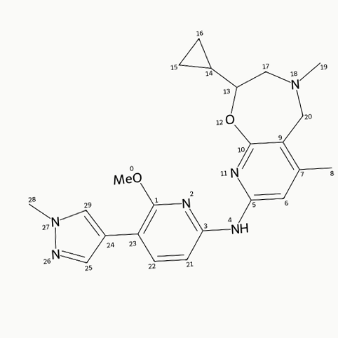 COc1nc(Nc2cc(C)c3c(n2)OC(C2CC2)CN(C)C3)ccc1-c1cnn(C)c1